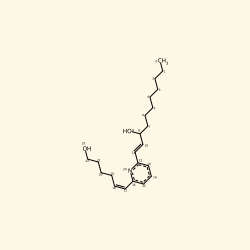 CCCCCCCCC(O)/C=C/c1cccc(/C=C\CCCCO)n1